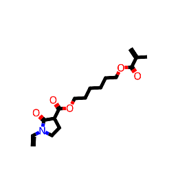 C=CN1CCC(C(=O)OCCCCCCOC(=O)C(=C)C)C1=O